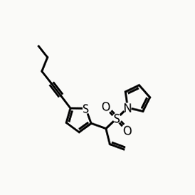 C=CC(c1ccc(C#CCCC)s1)S(=O)(=O)n1cccc1